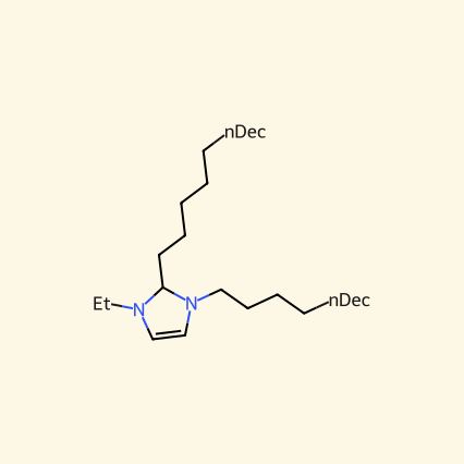 CCCCCCCCCCCCCCCC1N(CC)C=CN1CCCCCCCCCCCCCC